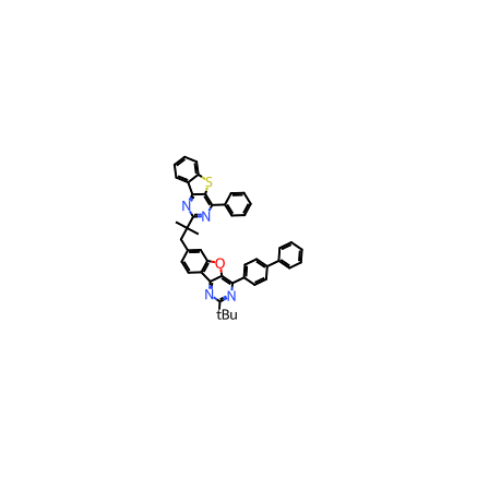 CC(C)(C)c1nc(-c2ccc(-c3ccccc3)cc2)c2oc3cc(CC(C)(C)c4nc(-c5ccccc5)c5sc6ccccc6c5n4)ccc3c2n1